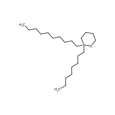 CCCCCCCCCC[Si]1(CCCCCCCC)CCCCO1